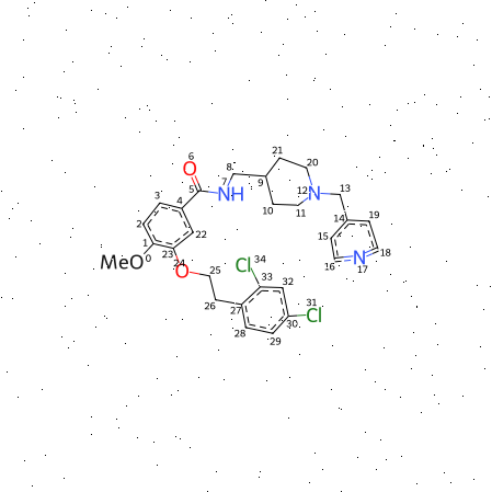 COc1ccc(C(=O)NCC2CCN(Cc3ccncc3)CC2)cc1OCCc1ccc(Cl)cc1Cl